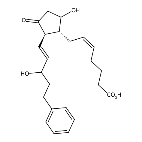 O=C(O)CCC/C=C\C[C@H]1C(O)CC(=O)[C@@H]1/C=C/C(O)CCc1ccccc1